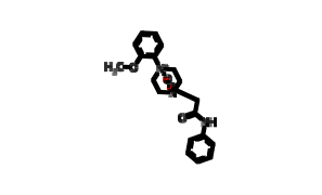 COc1ccccc1[N+]12CCN(CC1)C(CC(=O)Nc1ccccc1)OCO2